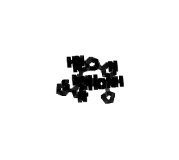 OC(Nc1cncc(-c2ccc3[nH]nc(-c4nc5c(-c6cccs6)cncc5[nH]4)c3c2)c1)C1CCCC1